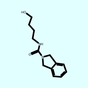 O=C(NCCCCO)N1Cc2ccccc2C1